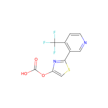 O=C(O)Oc1csc(-c2cnccc2C(F)(F)F)n1